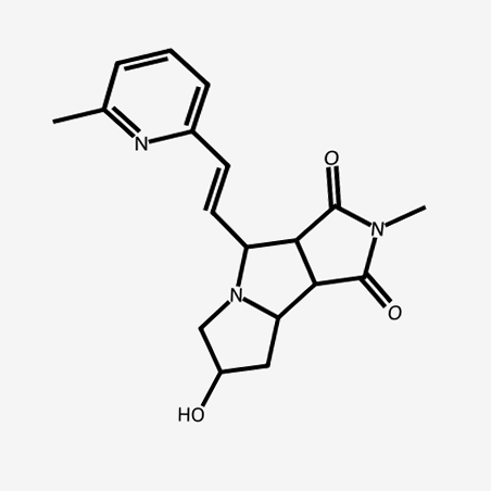 Cc1cccc(C=CC2C3C(=O)N(C)C(=O)C3C3CC(O)CN23)n1